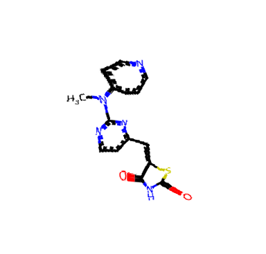 CN(c1ccncc1)c1nccc(/C=C2/SC(=O)NC2=O)n1